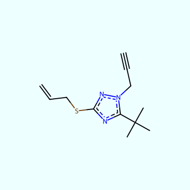 C#CCn1nc(SCC=C)nc1C(C)(C)C